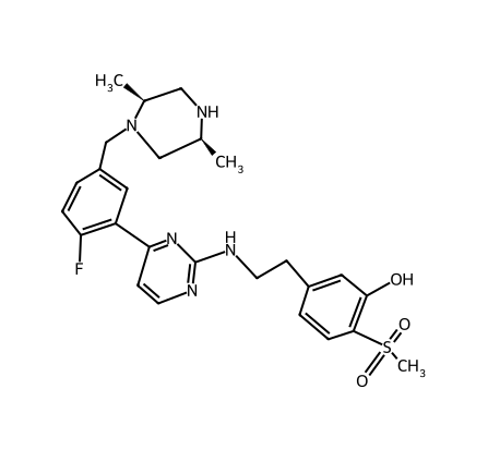 C[C@H]1CN(Cc2ccc(F)c(-c3ccnc(NCCc4ccc(S(C)(=O)=O)c(O)c4)n3)c2)[C@@H](C)CN1